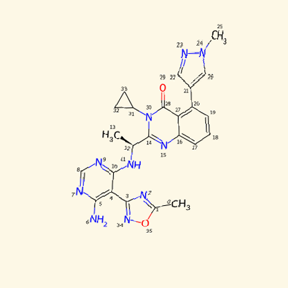 Cc1nc(-c2c(N)ncnc2N[C@@H](C)c2nc3cccc(-c4cnn(C)c4)c3c(=O)n2C2CC2)no1